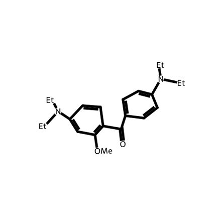 CCN(CC)c1ccc(C(=O)c2ccc(N(CC)CC)cc2OC)cc1